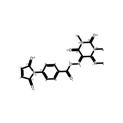 CN=C1C(=NOC(=O)c2ccc(N3C(=O)C=CC3=O)cc2)C(=O)N(C)C(=O)N1C